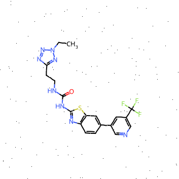 CCn1nnc(CCNC(=O)Nc2nc3ccc(-c4cncc(C(F)(F)F)c4)cc3s2)n1